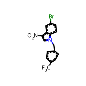 O=[N+]([O-])c1cn(Cc2ccc(C(F)(F)F)cc2)c2ccc(Br)cc12